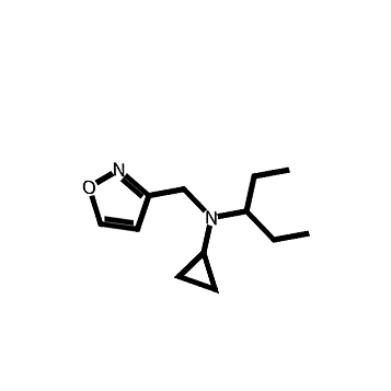 CCC(CC)N(Cc1ccon1)C1CC1